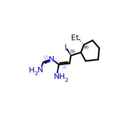 CC[C@@H]1CCCCC1[C@H](I)/C=C(N)\N=C/N